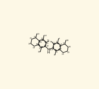 Cc1c(C)c2c(c(C)c1Nc1c(C)c(C)c3c(c1C)CCCC3C)CCCC2C